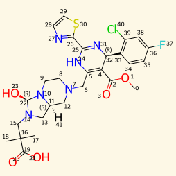 COC(=O)C1=C(CN2CCN3[C@@H](C2)CN(CC(C)(C)C(=O)O)[C@H]3O)NC(c2nccs2)=N[C@H]1c1ccc(F)cc1Cl